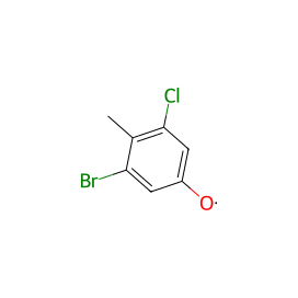 Cc1c(Cl)cc([O])cc1Br